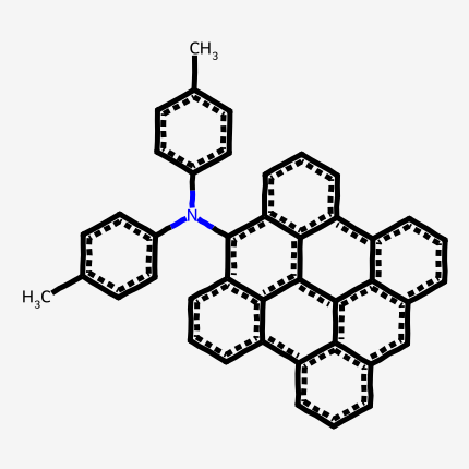 Cc1ccc(N(c2ccc(C)cc2)c2c3cccc4c5cccc6cc7cccc8c9cccc2c9c(c34)c(c65)c78)cc1